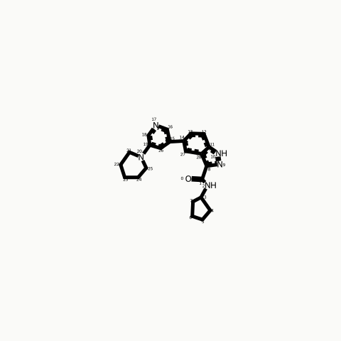 O=C(NC1CCCC1)c1n[nH]c2ccc(-c3cncc(N4CCCCC4)c3)cc12